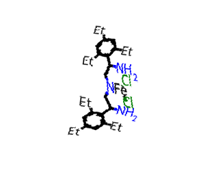 CCc1cc(CC)c(C(N)C[N](CC(N)c2c(CC)cc(CC)cc2CC)[Fe]([Cl])[Cl])c(CC)c1